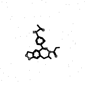 CCC(=O)N1N=C(c2ccc(NC(C)=O)cc2)c2cc3c(cc2CC1C)OOC3